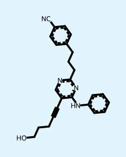 N#Cc1ccc(CCCc2ncc(C#CCCCO)c(Nc3ccccc3)n2)cc1